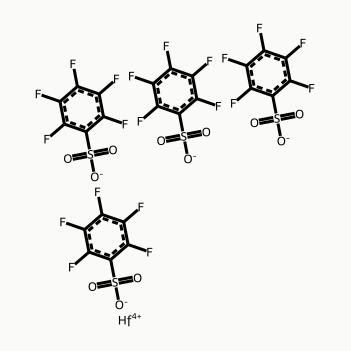 O=S(=O)([O-])c1c(F)c(F)c(F)c(F)c1F.O=S(=O)([O-])c1c(F)c(F)c(F)c(F)c1F.O=S(=O)([O-])c1c(F)c(F)c(F)c(F)c1F.O=S(=O)([O-])c1c(F)c(F)c(F)c(F)c1F.[Hf+4]